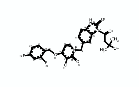 CC(C)(O)CC(=O)n1c(=O)[nH]c2ccc(Cn3ccc(OCc4ccc(F)cc4F)c(Cl)c3=O)cc21